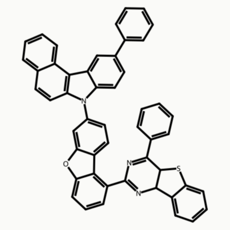 c1ccc(C2=NC(c3cccc4oc5cc(-n6c7ccc(-c8ccccc8)cc7c7c8ccccc8ccc76)ccc5c34)=NC3c4ccccc4SC23)cc1